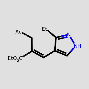 CCOC(=O)/C(=C/c1c[nH]nc1CC)CC(C)=O